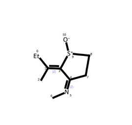 CC/C(C)=C1/C(=N\C)CC[S+]1[O-]